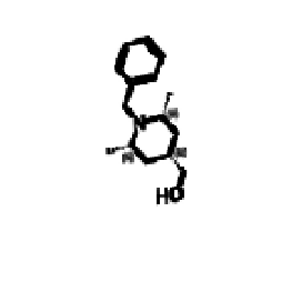 C[C@@H]1C[C@H](CO)C[C@H](C)N1Cc1ccccc1